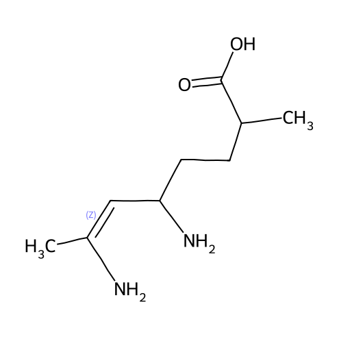 C/C(N)=C/C(N)CCC(C)C(=O)O